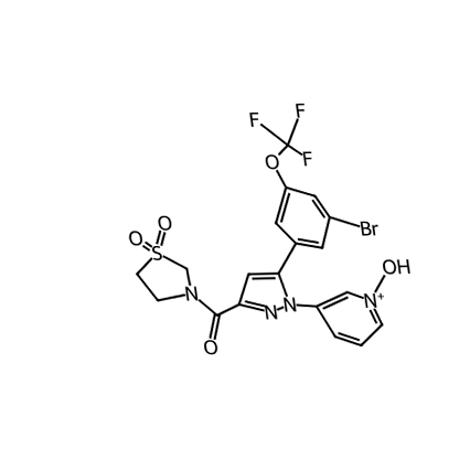 O=C(c1cc(-c2cc(Br)cc(OC(F)(F)F)c2)n(-c2ccc[n+](O)c2)n1)N1CCS(=O)(=O)C1